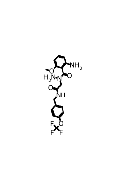 COc1cccc(N)c1C(=O)N(N)CC(=O)NCc1ccc(OC(F)(F)F)cc1